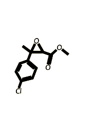 COC(=O)C1OC1(C)c1ccc(Cl)cc1